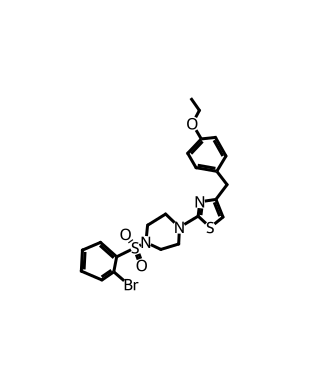 CCOc1ccc(Cc2csc(N3CCN(S(=O)(=O)c4ccccc4Br)CC3)n2)cc1